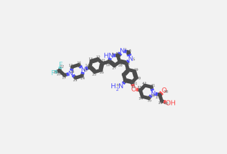 Nc1cc(-c2ncnc3[nH]c(-c4ccc(N5CCN(CC(F)F)CC5)cc4)cc23)ccc1OC1CCN(C(=O)CO)CC1